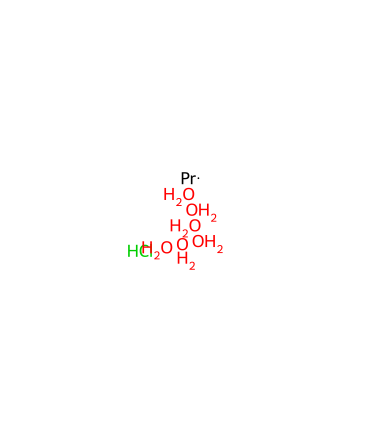 Cl.O.O.O.O.O.O.[Pr]